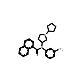 O=C(c1cccc2ccccc12)N(c1cccc(C(F)(F)F)c1)C1CCN(C2CCCC2)C1